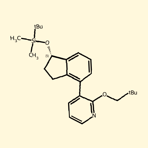 CC(C)(C)COc1ncccc1-c1cccc2c1CC[C@@H]2O[Si](C)(C)C(C)(C)C